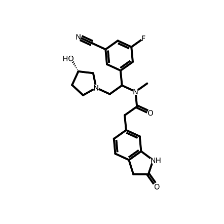 CN(C(=O)Cc1ccc2c(c1)NC(=O)C2)C(CN1CC[C@H](O)C1)c1cc(F)cc(C#N)c1